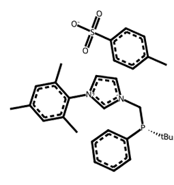 Cc1cc(C)c(-[n+]2ccn(C[P@@](c3ccccc3)C(C)(C)C)c2)c(C)c1.Cc1ccc(S(=O)(=O)[O-])cc1